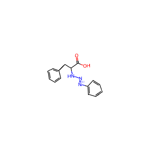 O=C(O)C(Cc1ccccc1)N/N=N/c1ccccc1